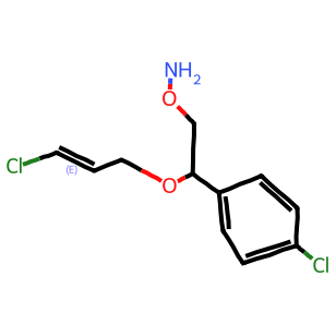 NOCC(OC/C=C/Cl)c1ccc(Cl)cc1